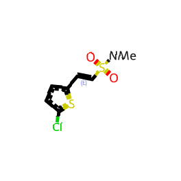 CNS(=O)(=O)/C=C/c1ccc(Cl)s1